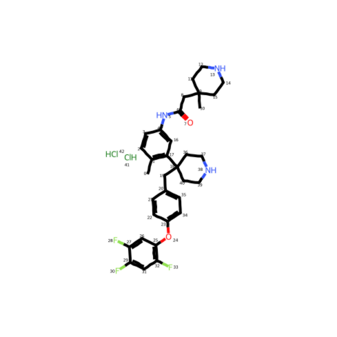 Cc1ccc(NC(=O)CC2(C)CCNCC2)cc1C1(Cc2ccc(Oc3cc(F)c(F)cc3F)cc2)CCNCC1.Cl.Cl